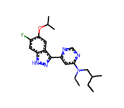 CCC(C)CN(CC)c1cc(-c2n[nH]c3cc(F)c(OC(C)C)cc23)ncn1